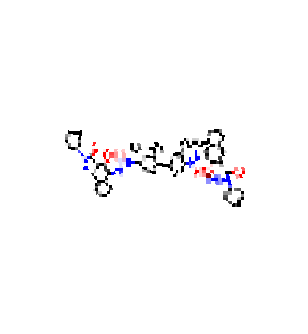 COc1cc(-c2ccc(/N=N/c3c(O)c(C(=O)Nc4ccccc4)cc4ccccc34)c(OC)c2)ccc1/N=N/c1c(O)c(C(=O)Nc2ccccc2)cc2ccccc12